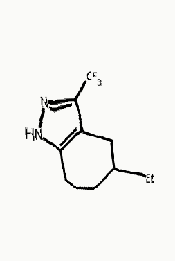 CCC1CCc2[nH]nc(C(F)(F)F)c2C1